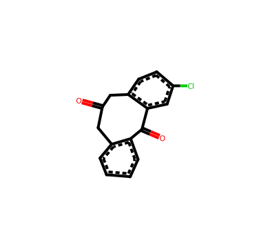 O=C1Cc2ccccc2C(=O)c2cc(Cl)ccc2C1